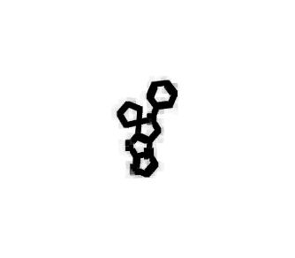 c1ccc(N2Cc3c(sc4nccn34)C23CCCC3)cc1